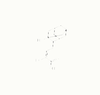 CC(=CCC1C2CC3CC(C2)CC1(O)C3)C(=O)O